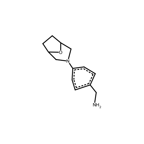 NCc1ccc(N2CC3CCC(C2)O3)cc1